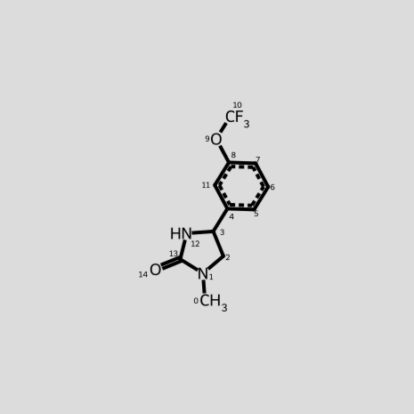 CN1CC(c2cccc(OC(F)(F)F)c2)NC1=O